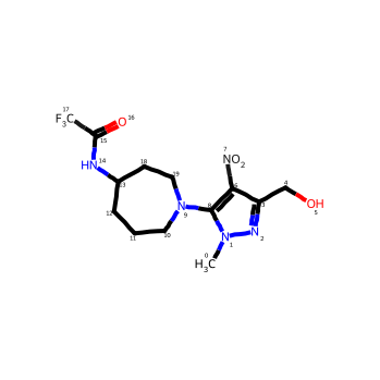 Cn1nc(CO)c([N+](=O)[O-])c1N1CCCC(NC(=O)C(F)(F)F)CC1